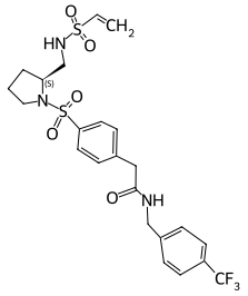 C=CS(=O)(=O)NC[C@@H]1CCCN1S(=O)(=O)c1ccc(CC(=O)NCc2ccc(C(F)(F)F)cc2)cc1